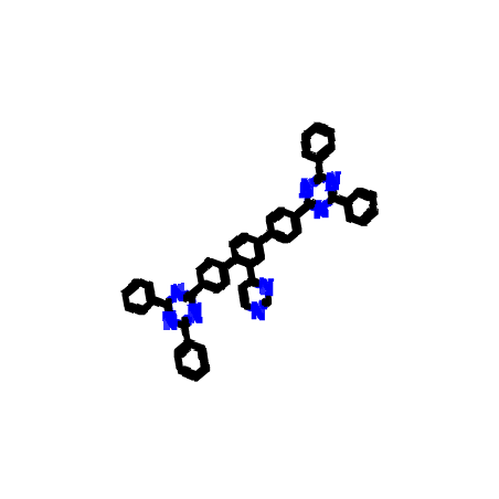 c1ccc(-c2nc(-c3ccccc3)nc(-c3ccc(-c4ccc(-c5ccc(-c6nc(-c7ccccc7)nc(-c7ccccc7)n6)cc5)c(-c5ccncn5)c4)cc3)n2)cc1